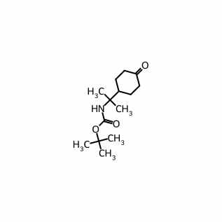 CC(C)(C)OC(=O)NC(C)(C)C1CCC(=O)CC1